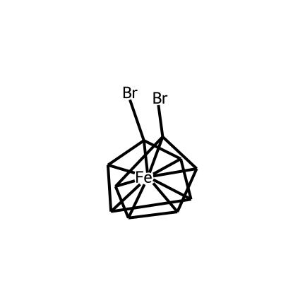 Br[C]12[CH]3[CH]4[CH]5[CH]1[Fe]45321678[CH]2[CH]1[CH]6[C]7(Br)[CH]28